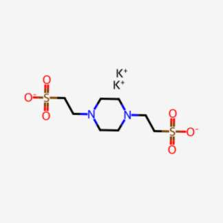 O=S(=O)([O-])CCN1CCN(CCS(=O)(=O)[O-])CC1.[K+].[K+]